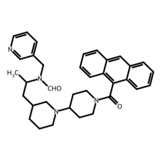 CC(CC1CCCN(C2CCN(C(=O)c3c4ccccc4cc4ccccc34)CC2)C1)N(C=O)Cc1cccnc1